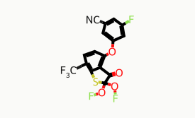 N#Cc1cc(F)cc(Oc2ccc(C(F)(F)F)c3c2C(=O)C(OF)(OF)S3)c1